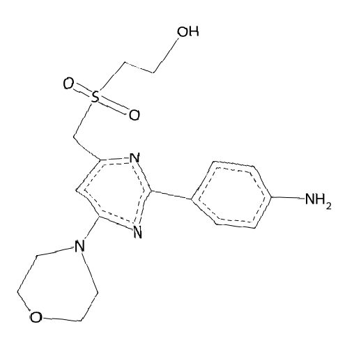 Nc1ccc(-c2nc(CS(=O)(=O)CCO)cc(N3CCOCC3)n2)cc1